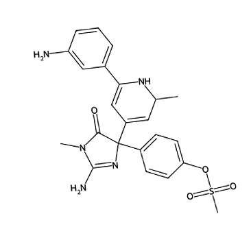 CC1C=C(C2(c3ccc(OS(C)(=O)=O)cc3)N=C(N)N(C)C2=O)C=C(c2cccc(N)c2)N1